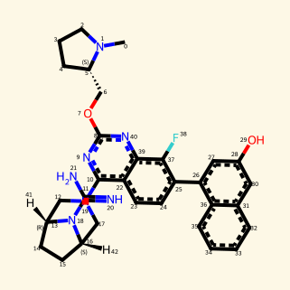 CN1CCC[C@H]1COc1nc(N2C[C@H]3CC[C@@H](C2)N3C(=N)N)c2ccc(-c3cc(O)cc4ccccc34)c(F)c2n1